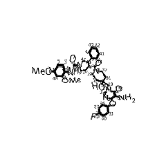 COc1ccc(NC(=O)N2CC[C@@H](C(=O)N3CCC(O)(Cn4cnc(Oc5ccc(F)cc5)c(N)c4=O)CC3)[C@H](c3ccccc3)C2)c(OC)c1